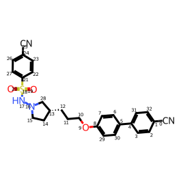 N#Cc1ccc(-c2ccc(OCCC[C@@H]3CCN(NS(=O)(=O)c4ccc(C#N)cc4)C3)cc2)cc1